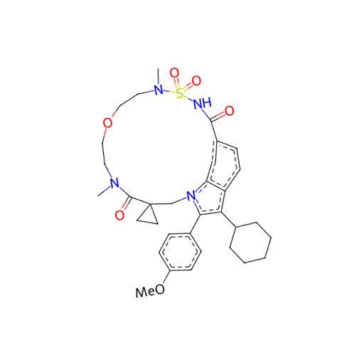 COc1ccc(-c2c(C3CCCCC3)c3ccc4cc3n2CC2(CC2)C(=O)N(C)CCOCCN(C)S(=O)(=O)NC4=O)cc1